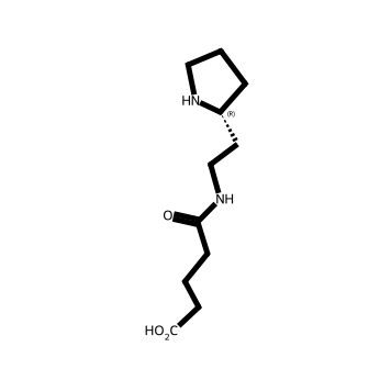 O=C(O)CCCC(=O)NCC[C@H]1CCCN1